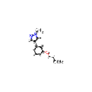 COCCOc1cccc(-c2cnn(C)c2)c1